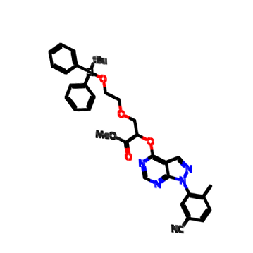 COC(=O)C(COCCO[Si](c1ccccc1)(c1ccccc1)C(C)(C)C)Oc1ncnc2c1cnn2-c1cc(C#N)ccc1C